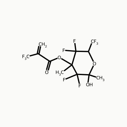 C=C(C(=O)OC1(C)C(F)(F)C(C(F)(F)F)OC(C)(O)C1(F)F)C(F)(F)F